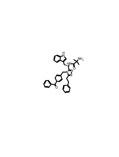 CC(C)(N)C(=O)N[C@H](Cc1c[nH]c2ccccc12)c1nnc(CCc2ccccc2)n1CC1=CCC(C(=O)c2ccccc2)C=C1